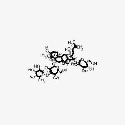 C=C(C)[C@@H](O)CC[C@](C)(O[C@@H]1O[C@H](CO)[C@@H](O)[C@H](O)[C@H]1O)[C@H]1CC[C@]2(C)[C@@H]1[C@H](O)C[C@@H]1[C@@]3(C)CC[C@H](O)C(C)(C)[C@@H]3[C@@H](O[C@@H]3O[C@H](CO)[C@@H](O)[C@H](O)[C@H]3O[C@@H]3O[C@@H](C)[C@H](O)[C@@H](O)[C@H]3O)C[C@]12C